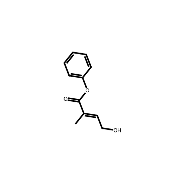 CC(=CCO)C(=O)Oc1ccccc1